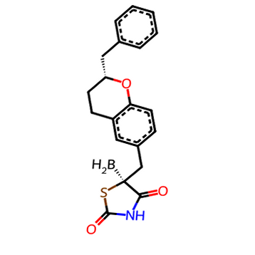 B[C@@]1(Cc2ccc3c(c2)CC[C@H](Cc2ccccc2)O3)SC(=O)NC1=O